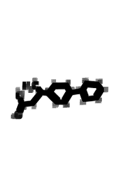 CC(CC(=O)Cl)c1ccc(-c2ccccc2)cc1